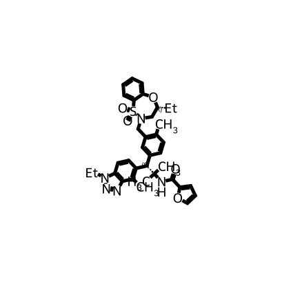 CC[C@@H]1CN(Cc2cc([C@@H](c3ccc4c(nnn4CC)c3C)C(C)(C)NC(=O)c3ccco3)ccc2C)S(=O)(=O)c2ccccc2O1